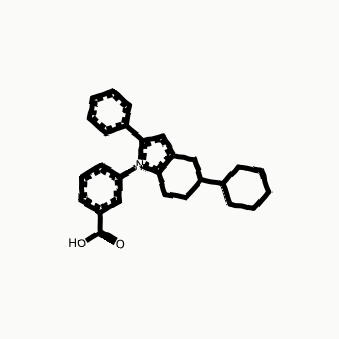 O=C(O)c1cccc(-n2c(-c3ccccc3)cc3c2CCC(C2CCCCC2)C3)c1